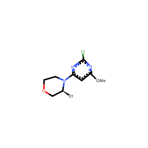 CC[C@H]1COCCN1c1cc(OC)nc(Cl)n1